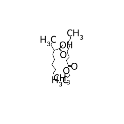 CCCCCCC(CC)C(=O)O.CCCCCCCC(=O)OCC